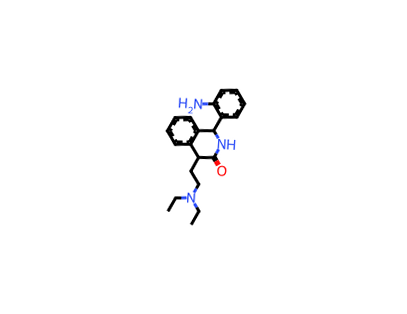 CCN(CC)CCC1C(=O)NC(c2ccccc2N)c2ccccc21